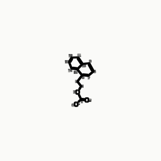 [O]C(=O)OCCc1cccc2ccccc12